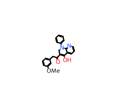 COc1cccc(CC(=O)C2=C(O)c3cccnc3N(c3ccccc3)C2)c1